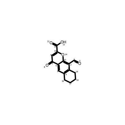 O=Cc1c2c(cc3c(=O)cc(C(=O)O)oc13)CCCC2